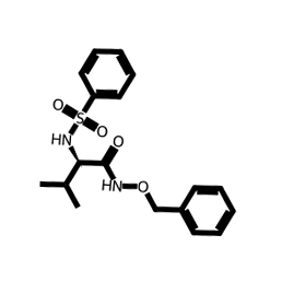 CC(C)[C@@H](NS(=O)(=O)c1ccccc1)C(=O)NOCc1ccccc1